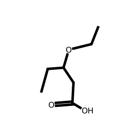 CCOC(CC)CC(=O)O